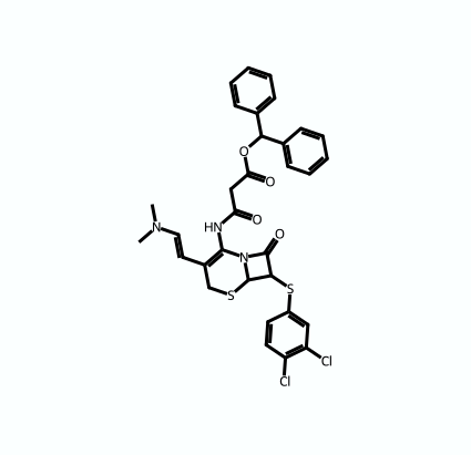 CN(C)C=CC1=C(NC(=O)CC(=O)OC(c2ccccc2)c2ccccc2)N2C(=O)C(Sc3ccc(Cl)c(Cl)c3)C2SC1